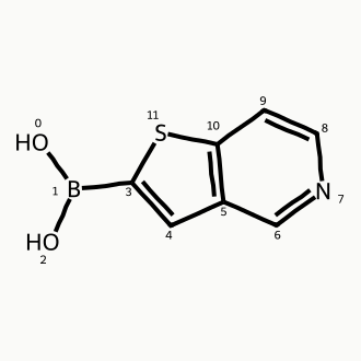 OB(O)c1cc2cnccc2s1